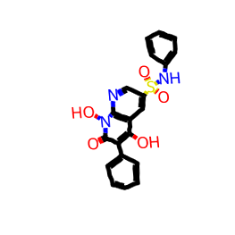 O=c1c(-c2ccccc2)c(O)c2cc(S(=O)(=O)Nc3ccccc3)cnc2n1O